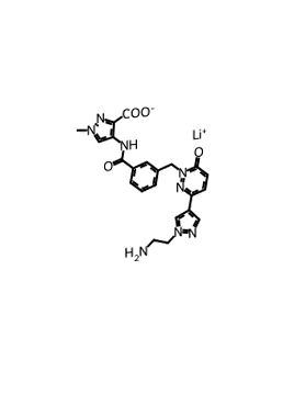 Cn1cc(NC(=O)c2cccc(Cn3nc(-c4cnn(CCN)c4)ccc3=O)c2)c(C(=O)[O-])n1.[Li+]